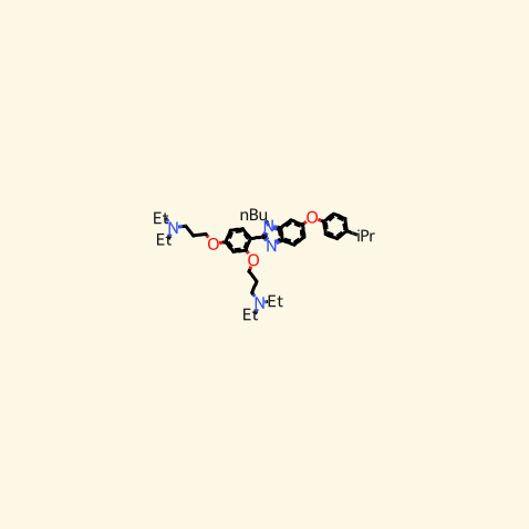 CCCCn1c(-c2ccc(OCCCN(CC)CC)cc2OCCCN(CC)CC)nc2ccc(Oc3ccc(C(C)C)cc3)cc21